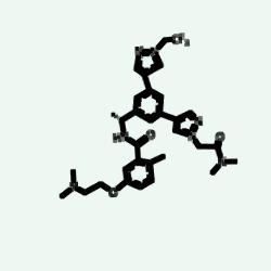 Cc1ccc(OCCN(C)C)cc1C(=O)N[C@H](C)c1cc(-c2cnn(CC(=O)N(C)C)c2)cc(-c2cnn(CC(F)(F)F)c2)c1